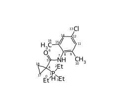 CC[PH](CC)(CC)C1(C(=O)Nc2c(C)cc(Cl)cc2C)CC1